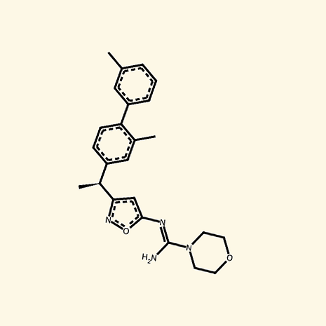 Cc1cccc(-c2ccc([C@H](C)c3cc(/N=C(\N)N4CCOCC4)on3)cc2C)c1